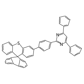 c1ccc(-c2cc(-c3ccccc3)nc(-c3ccc(-c4ccc5c(c4)Sc4ccccc4C54c5ccccc5-c5ccccc54)cc3)n2)cc1